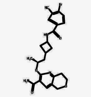 C[C@@H](CC1CC(NC(=O)c2ccc(Br)c(C#N)c2)C1)Oc1nc2c(cc1C(N)=O)COCC2